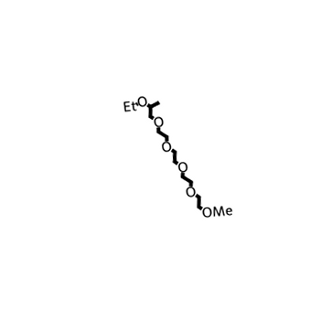 CCOC(C)COCCOCCOCCOCCOC